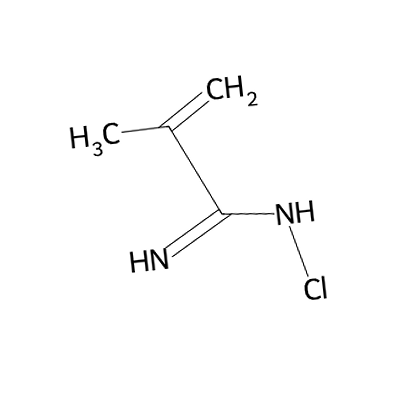 C=C(C)C(=N)NCl